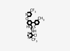 Cc1ccc(S(=O)(=O)O)c(-c2cc(Oc3ccc(C(F)(F)F)cn3)ccc2CCNc2ncnc(C(F)(F)F)c2Cl)c1